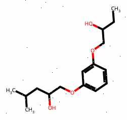 CCC(O)COc1cccc(OCC(O)CC(C)C)c1